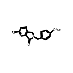 COc1ccc(CN2Cc3ccc(Cl)nc3C2=O)cc1